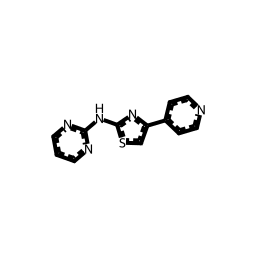 c1cnc(Nc2nc(-c3ccncc3)cs2)nc1